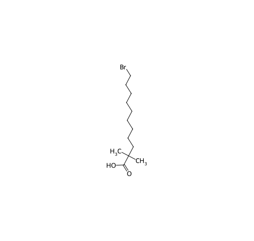 CC(C)(CCCCCCCCCBr)C(=O)O